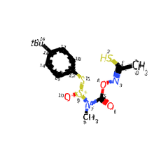 CC(S)=NOC(=O)N(C)[S+]([O-])Sc1ccc(C(C)(C)C)cc1